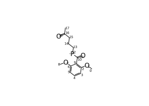 COc1cccc(OC)c1C(=O)[P]CCCC(C)=O